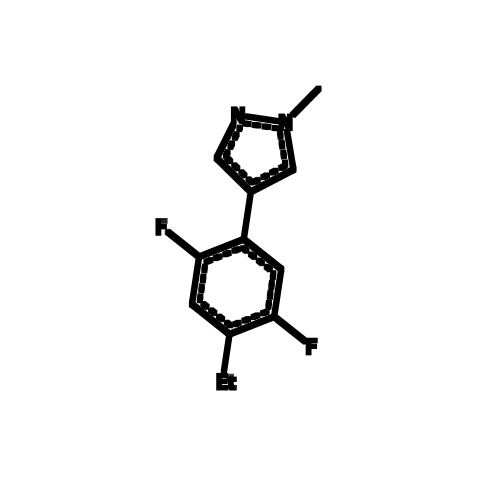 CCc1cc(F)c(-c2cnn(C)c2)cc1F